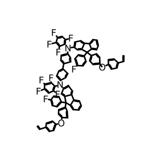 C=Cc1ccc(Oc2ccc(C3(c4ccc(F)cc4)c4ccccc4-c4ccc(N(c5ccc(-c6ccc(N(c7ccc8c(c7)C(c7ccc(F)cc7)(c7ccc(Oc9ccc(C=C)cc9)cc7)c7ccccc7-8)c7c(F)cc(F)c(F)c7F)cc6)cc5)c5c(F)cc(F)c(F)c5F)cc43)cc2)cc1